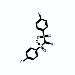 N=C(S(=O)(=O)c1ccc(Cl)cc1)S(=O)(=O)c1ccc(Cl)cc1